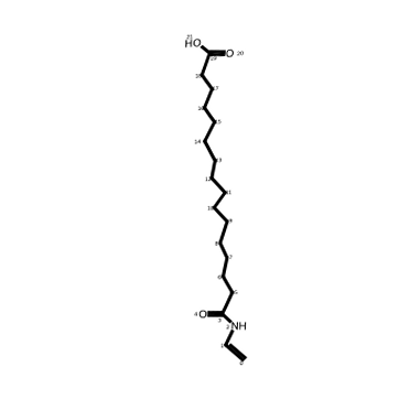 C=CNC(=O)CCCCCCCCCCCCCCC(=O)O